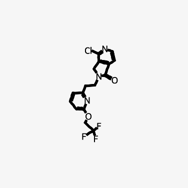 O=C1c2ccnc(Cl)c2CN1CCc1cccc(OCC(F)(F)F)n1